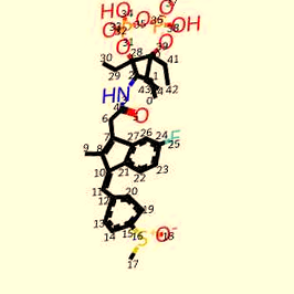 CCC(NC(=O)CC1=C(C)/C(=C/c2ccc([S+](C)[O-])cc2)c2ccc(F)cc21)C1(CC)OP(=O)(O)OP(=O)(O)OC1(CC)CC